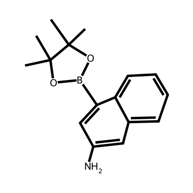 CC1(C)OB(c2cc(N)cc3ccccc23)OC1(C)C